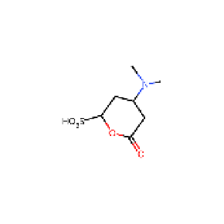 CN(C)C1CC(=O)OC(S(=O)(=O)O)C1